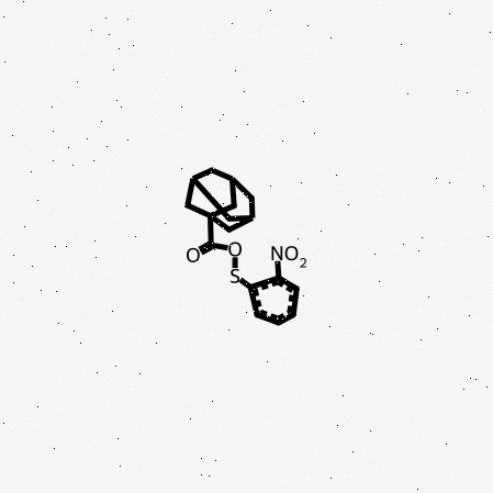 O=C(OSc1ccccc1[N+](=O)[O-])C12CC3CC(CC(C3)C1)C2